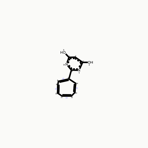 Oc1cc(O)nc(C2=C/C=C\C=C/C=C\2)n1